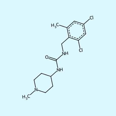 Cc1cc(Cl)cc(Cl)c1CNC(=O)NC1CCN(C)CC1